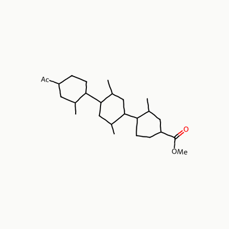 COC(=O)C1CCC(C2CC(C)C(C3CCC(C(C)=O)CC3C)CC2C)C(C)C1